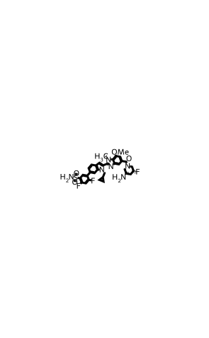 COc1cc(C(=O)N2C[C@H](N)C[C@@H](F)C2)cc2nc(-c3cc4ccc(-c5cc(S(N)(=O)=O)c(F)cc5F)cc4n3CC3CC3)n(C)c12